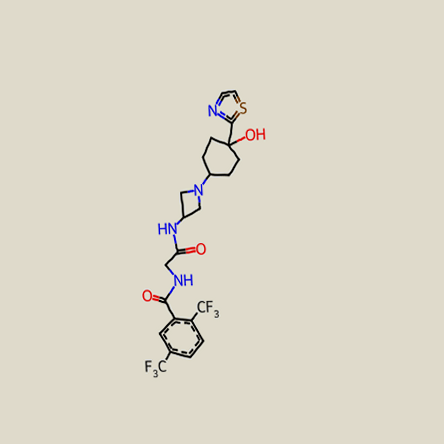 O=C(CNC(=O)c1cc(C(F)(F)F)ccc1C(F)(F)F)NC1CN(C2CCC(O)(c3nccs3)CC2)C1